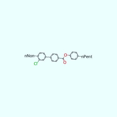 CCCCCCCCCc1ccc(-c2ccc(C(=O)Oc3ccc(CCCCC)cc3)cc2)cc1Cl